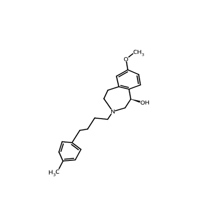 COc1ccc2c(c1)CCN(CCCCc1ccc(C)cc1)C[C@@H]2O